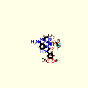 CCOc1cc(C(Nc2ccc(C(=N)N)cc2)C(=O)NNc2nccc(C(F)(F)F)n2)ccc1OC(C)C.O=C(O)C(F)(F)F